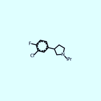 CC(C)N1CCC(c2ccc(F)c(Cl)c2)C1